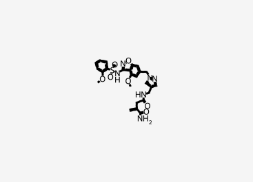 C=C(CC(=O)NCc1cnn(Cc2cc(OC)c3c(NS(=O)(=O)c4ccccc4OC)noc3c2)c1)C(N)=O